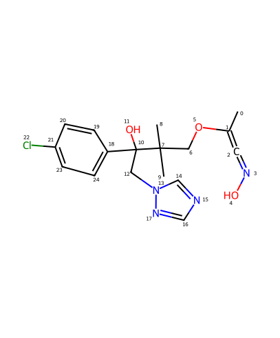 CC(=C=NO)OCC(C)(C)C(O)(Cn1cncn1)c1ccc(Cl)cc1